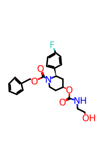 O=C(NCCO)O[C@H]1CCN(C(=O)OCc2ccccc2)[C@@H](c2ccc(F)cc2)C1